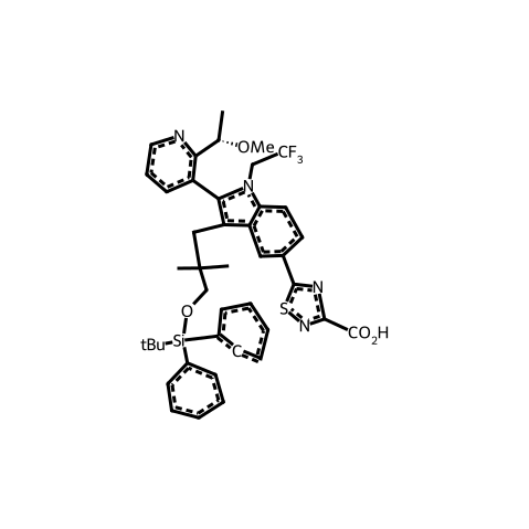 CO[C@@H](C)c1ncccc1-c1c(CC(C)(C)CO[Si](c2ccccc2)(c2ccccc2)C(C)(C)C)c2cc(-c3nc(C(=O)O)ns3)ccc2n1CC(F)(F)F